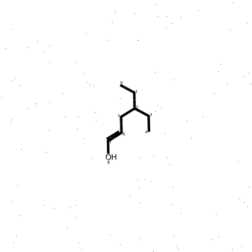 CCC(CC)CC=CO